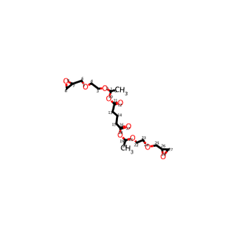 CC(OCCOCC1CO1)OC(=O)CCCC(=O)OC(C)OCCOCC1CO1